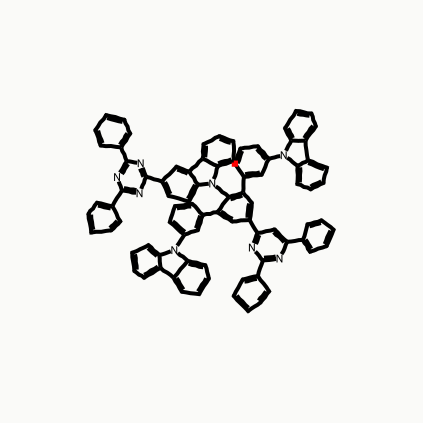 c1ccc(-c2cc(-c3cc(-c4cccc(-n5c6ccccc6c6ccccc65)c4)c(-n4c5ccccc5c5cc(-c6nc(-c7ccccc7)nc(-c7ccccc7)n6)ccc54)c(-c4cccc(-n5c6ccccc6c6ccccc65)c4)c3)nc(-c3ccccc3)n2)cc1